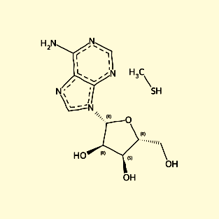 CS.Nc1ncnc2c1ncn2[C@@H]1O[C@H](CO)[C@@H](O)[C@H]1O